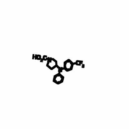 O=C(O)N1CCC(N(c2ccccc2)c2ccc(C(F)(F)F)cc2)CC1